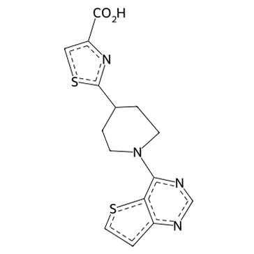 O=C(O)c1csc(C2CCN(c3ncnc4ccsc34)CC2)n1